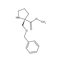 COC(=O)[C@@]1(COCc2ccccc2)CCCN1